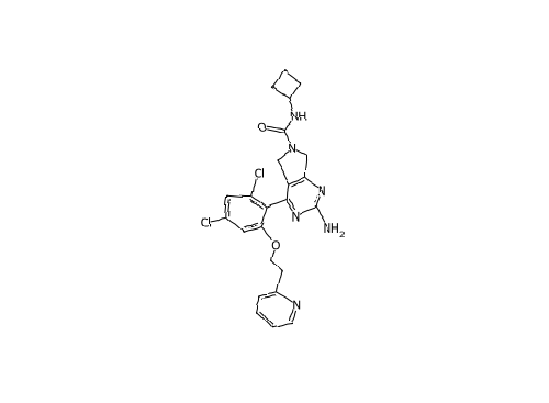 Nc1nc2c(c(-c3c(Cl)cc(Cl)cc3OCCc3ccccn3)n1)CN(C(=O)NC1CCC1)C2